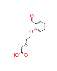 O=Cc1ccccc1OCCSCC(=O)O